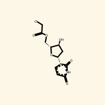 O=C(CCl)OC[C@H]1O[C@@H](n2ccc(=O)[nH]c2=O)C[C@@H]1O